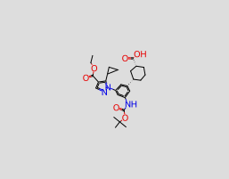 CCOC(=O)c1cnn(-c2cc(NC(=O)OC(C)(C)C)cc([C@H]3CCC[C@@H](C(=O)O)C3)c2)c1C1CC1